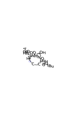 CC(C)(C)OC(=O)N[C@H]1CCCCC/C=C\[C@@H]2C[C@@]2(C(=O)NS(=O)(=O)C2CC2)NC(=O)C2C[C@@H](O)CN2C1=O